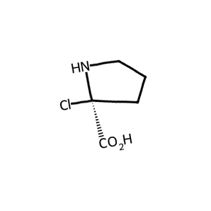 O=C(O)[C@@]1(Cl)CCCN1